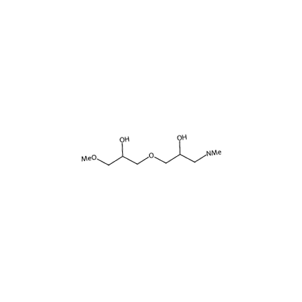 CNCC(O)COCC(O)COC